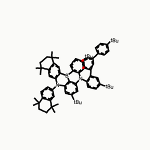 CC(C)(C)c1ccc(-c2cccc(-c3cc(C(C)(C)C)ccc3N3c4cc(C(C)(C)C)ccc4B4c5cc6c(cc5N(c5ccc7c(c5)C(C)(C)CCC7(C)C)c5cc(C(C)(C)C)cc3c54)C(C)(C)CCC6(C)C)c2)cc1